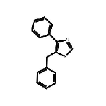 [c]1nc(-c2ccccc2)c(Cc2ccccc2)s1